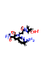 CC1(O)CN(C(=O)CCn2c(=O)c(C(N)=O)cc3ccc(N)nc32)C1